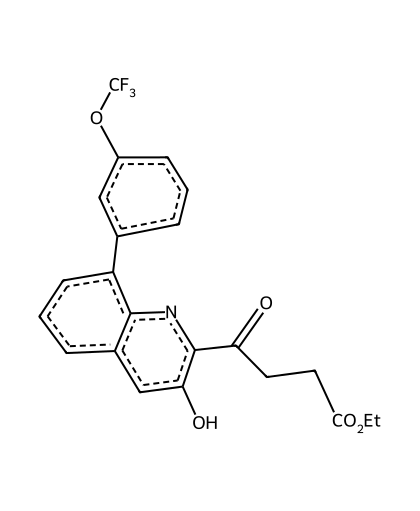 CCOC(=O)CCC(=O)c1nc2c(-c3cccc(OC(F)(F)F)c3)cccc2cc1O